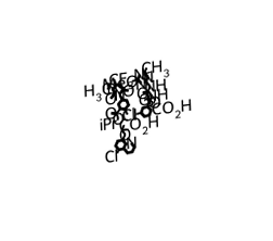 CC(C)OC(=O)c1cc(-n2c(=O)cc(C(F)(F)F)n(C)c2=O)ccc1Cl.COc1nc(C)nc(NC(=O)NS(=O)(=O)c2cc(I)ccc2C(=O)O)n1.O=C(O)COc1ccc(Cl)c2cccnc12